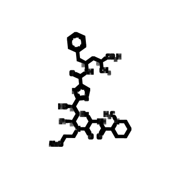 CCC(C)C(NC(=O)C1CCCCN1C)C(=O)N(CCOC)[C@H](C[C@@H](O)c1nc(C(=O)N[C@@H](Cc2ccccc2)C[C@H](C)C(=O)O)cs1)C(C)C